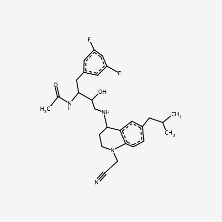 CC(=O)NC(Cc1cc(F)cc(F)c1)C(O)CNC1CCN(CC#N)c2ccc(CC(C)C)cc21